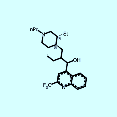 CCCN1CC[C@H](CC(CI)C(O)c2cc(C(F)(F)F)nc3ccccc23)[C@@H](CC)C1